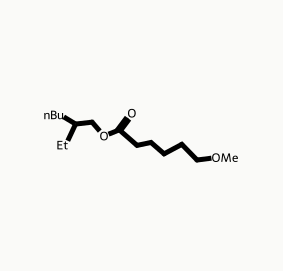 CCCCC(CC)COC(=O)CCCCCOC